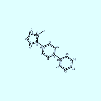 Cn1n[c]nc1-c1ccc(-c2ccccc2)cc1